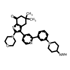 CNC1CCN(c2cccc(-c3cc(-c4c(N5CCOCC5)sc5c4CC(C)(C)CC5=O)ccn3)c2)CC1